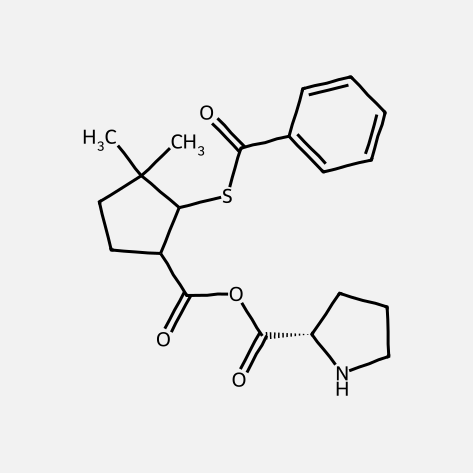 CC1(C)CCC(C(=O)OC(=O)[C@@H]2CCCN2)C1SC(=O)c1ccccc1